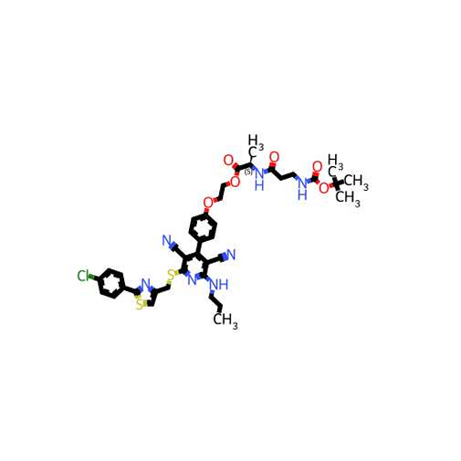 CCCNc1nc(SCc2csc(-c3ccc(Cl)cc3)n2)c(C#N)c(-c2ccc(OCCOC(=O)[C@H](C)NC(=O)CCNC(=O)OC(C)(C)C)cc2)c1C#N